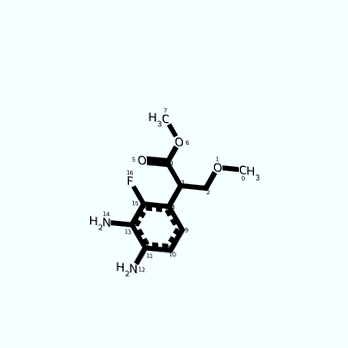 COCC(C(=O)OC)c1ccc(N)c(N)c1F